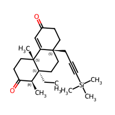 CC[C@@]12CC[C@@]3(CC#C[Si](C)(C)C)CCC(=O)C=C3[C@@]1(C)CCC(=O)[C@@H]2C